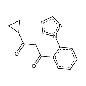 O=C(CC(=O)C1CC1)c1ccccc1-n1cccn1